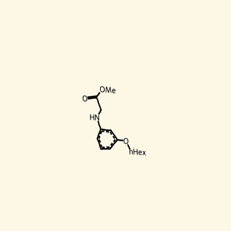 CCCCCCOc1cccc(NCC(=O)OC)c1